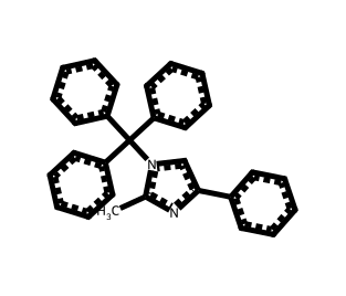 Cc1nc(-c2ccccc2)cn1C(c1ccccc1)(c1ccccc1)c1ccccc1